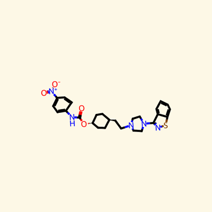 O=C(Nc1ccc([N+](=O)[O-])cc1)O[C@H]1CC[C@H](CCN2CCN(c3nsc4ccccc34)CC2)CC1